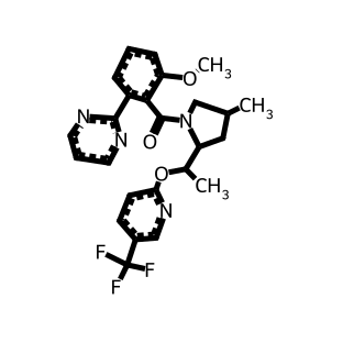 COc1cccc(-c2ncccn2)c1C(=O)N1CC(C)CC1C(C)Oc1ccc(C(F)(F)F)cn1